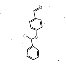 O=Cc1ccc(OC(Cl)c2ccccc2)cc1